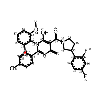 C=C1N=C(c2ccc(Cl)cn2)N(c2c(OC)cccc2OC)C(O)=C1C(=O)N1CCC(c2ccc(F)cc2F)C1